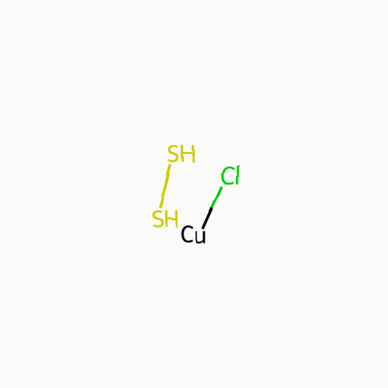 SS.[Cl][Cu]